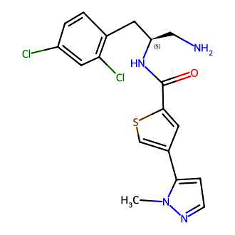 Cn1nccc1-c1csc(C(=O)N[C@H](CN)Cc2ccc(Cl)cc2Cl)c1